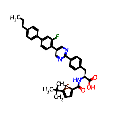 CCCc1ccc(-c2ccc(-c3cnc(-c4ccc(C[C@H](NC(=O)c5ccc(C(C)(C)C)s5)C(=O)O)cc4)nc3)c(F)c2)cc1